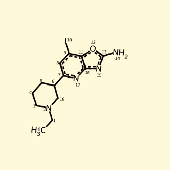 CCN1CCCC(c2cc(I)c3oc(N)nc3n2)C1